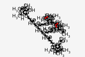 CC(=O)NC1C(OC(C)=O)[C@@H](OC(C)=O)C(CO)O[C@H]1OCCCCC(=O)NCCN(CCNCCN(CCNC(=O)CCCCO[C@@H]1OC(COC(C)=O)[C@H](OC(C)=O)C(OC(C)=O)C1NC(C)=O)C(=O)CCCCO[C@@H]1OC(COC(C)=O)[C@H](OC(C)=O)C(OC(C)=O)C1NC(C)=O)C(=O)CCCCO[C@@H]1OC(COC(C)=O)[C@H](OC(C)=O)C(OC(C)=O)C1NC(C)=O